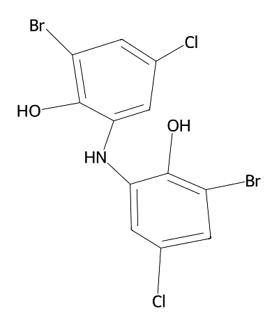 Oc1c(Br)cc(Cl)cc1Nc1cc(Cl)cc(Br)c1O